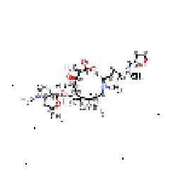 CO[C@]1(C)C[C@@H](C)CN(C)[C@H]([C@H]2C[C@@H](N(C)CC3CCCO3)C2)COC(=O)[C@H](C)C(=O)[C@H](C)[C@H]1CO[C@H]1C[C@@H](N(C)C)C[C@@H](C)O1